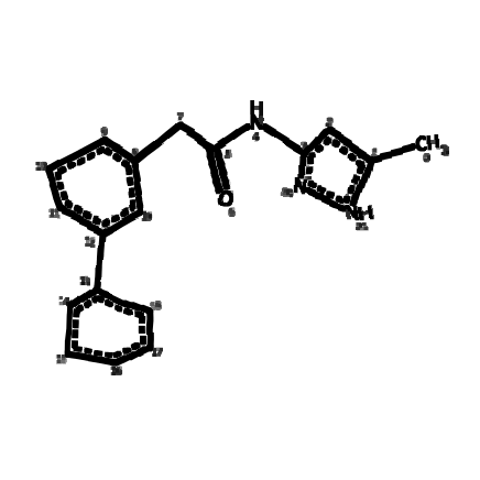 Cc1cc(NC(=O)Cc2cccc(-c3ccccc3)c2)n[nH]1